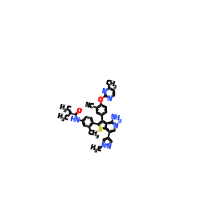 C=C(C)C(=O)Nc1ccc(-c2sc3c(-c4cnn(C)c4)cnc(N)c3c2-c2ccc(Oc3nccc(C)n3)c(C#N)c2)c(C)c1